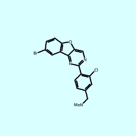 CNCc1ccc(-c2ncc3oc4ccc(Br)cc4c3n2)c(Cl)c1